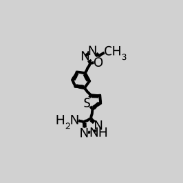 Cc1nnc(-c2cccc(-c3ccc(-c4n[nH]nc4N)s3)c2)o1